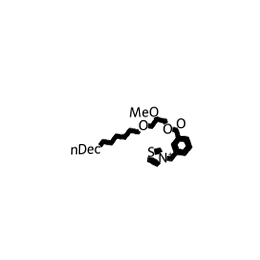 CCCCCCCCCCCCCCCCOCC(COC(=O)c1cccc(C[n+]2ccsc2)c1)OC